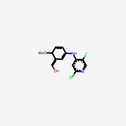 COC1C=CC(Nc2cc(Cl)ncc2F)=CC1=CO